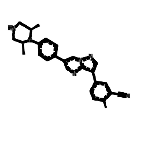 Cc1ccc(-c2cnn3cc(-c4ccc(N5[C@H](C)CNC[C@@H]5C)cc4)cnc23)cc1C#N